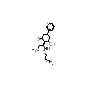 C=CCONC(CC)=C1C(=O)CC(c2cccnc2)CC1O